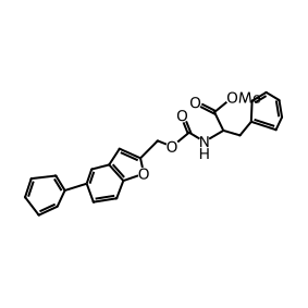 COC(=O)C(Cc1ccccc1)NC(=O)OCc1cc2cc(-c3ccccc3)ccc2o1